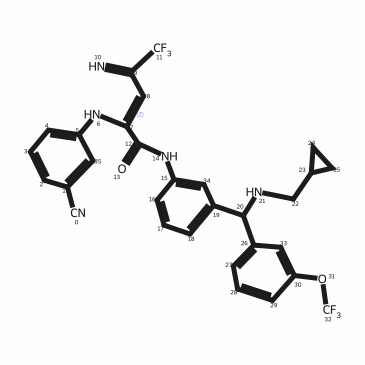 N#Cc1cccc(N/C(=C\C(=N)C(F)(F)F)C(=O)Nc2cccc(C(NCC3CC3)c3cccc(OC(F)(F)F)c3)c2)c1